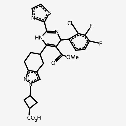 COC(=O)C1=C(C2CCc3nn(C4CC(C(=O)O)C4)cc3C2)NC(c2nccs2)=NC1c1ccc(F)c(F)c1Cl